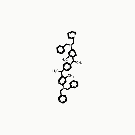 Cc1cc(N(Cc2ccccc2)Cc2ccccc2)ccc1C(C)c1ccc(C(C)c2ccc(N(Cc3ccccc3)Cc3ccccc3)cc2C)cc1